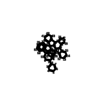 C1=C(c2ccccc2)N=C(n2c3ccccc3c3c4cscc4c4c(c32)C2(c3ccccc3-c3ccccc32)c2ccccc2-4)N=C(c2ccccc2)C1